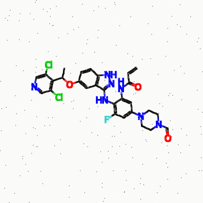 C=CC(=O)Nc1cc(N2CCN(C=O)CC2)cc(F)c1Nc1n[nH]c2ccc(OC(C)c3c(Cl)cncc3Cl)cc12